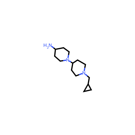 NC1CCN(C2CCN(CC3CC3)CC2)CC1